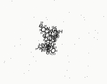 C=C[C@@H]1C[C@]1(NC(=O)[C@@H]1C[C@@H](Oc2cc(-c3csc(NC(C)C)n3)nc3cc(OC)ccc23)CN1C(=O)N(NC(C)=O)C(C)C)C(=O)NS(=O)(=O)c1ccccc1NCCCCCC